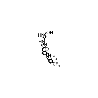 O=C1N=C(NCC2CNC(CO)C2)SC1=Cc1ccc2c(cnn2Cc2ccc(C(F)(F)F)cc2C(F)(F)F)c1